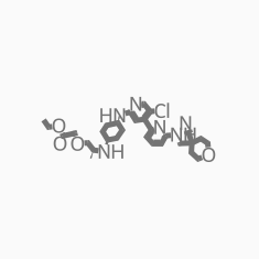 CCOC(=O)COC[C@@H](C)N[C@H]1CC[C@H](Nc2cc(-c3cccc(NCC4(C#N)CCOCC4)n3)c(Cl)cn2)CC1